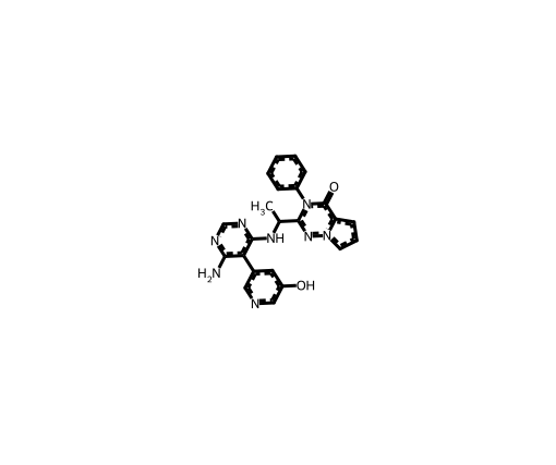 CC(Nc1ncnc(N)c1-c1cncc(O)c1)c1nn2cccc2c(=O)n1-c1ccccc1